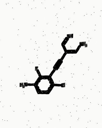 N=C/C(C#Cc1c(Cl)ccc(N)c1F)=C\N